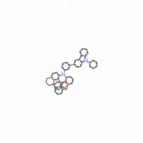 c1ccc(-n2c3ccccc3c3cc(-c4cccc(N(c5ccccc5-c5cccc6cccc(C7CCCCC7)c56)c5cccc6sc7ccccc7c56)c4)ccc32)cc1